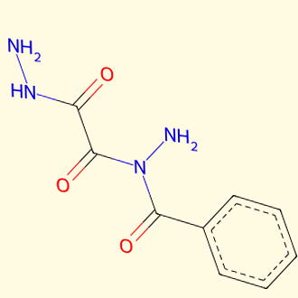 NNC(=O)C(=O)N(N)C(=O)c1ccccc1